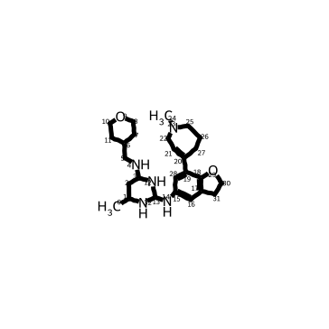 CC1CC(NCC2CCOCC2)NC(Nc2cc3c(c(C4=CCN(C)CCC4)c2)OCC3)N1